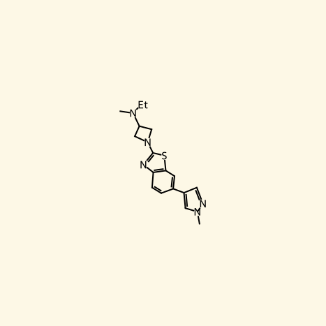 CCN(C)C1CN(c2nc3ccc(-c4cnn(C)c4)cc3s2)C1